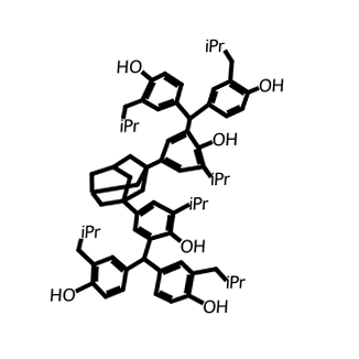 CC(C)Cc1cc(C(c2ccc(O)c(CC(C)C)c2)c2cc(C34CC5CC(C3)CC(c3cc(C(C)C)c(O)c(C(c6ccc(O)c(CC(C)C)c6)c6ccc(O)c(CC(C)C)c6)c3)(C5)C4)cc(C(C)C)c2O)ccc1O